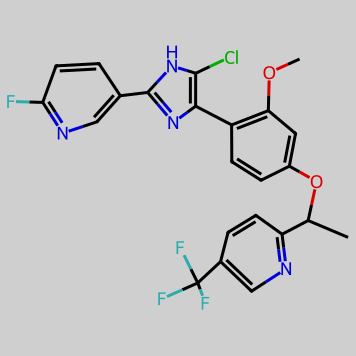 COc1cc(OC(C)c2ccc(C(F)(F)F)cn2)ccc1-c1nc(-c2ccc(F)nc2)[nH]c1Cl